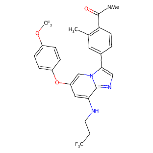 CNC(=O)c1ccc(-c2cnc3c(NCCC(F)(F)F)cc(Oc4ccc(OC(F)(F)F)cc4)cn23)cc1C